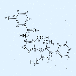 Cc1nn(-c2ccccc2)c(C)c1-c1csc(NC(=O)c2cccc(F)c2)c1C(=O)O